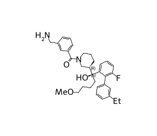 CCc1cccc(-c2c(F)cccc2[C@](O)(CCCCOC)[C@@H]2CCCN(C(=O)c3cccc(CN)c3)C2)c1